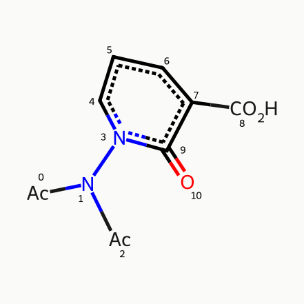 CC(=O)N(C(C)=O)n1cccc(C(=O)O)c1=O